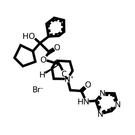 O=C(C[N+]12CCC(CC1)[C@@H](OC(=O)C(O)(c1ccccc1)C1CCCC1)C2)Nc1ncncn1.[Br-]